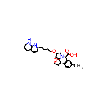 Cc1ccc([C@H]2CCOC2)c([C@H](C(=O)O)N2CC[C@@H](OCCCCc3ccc4c(n3)NCCC4)C2)c1